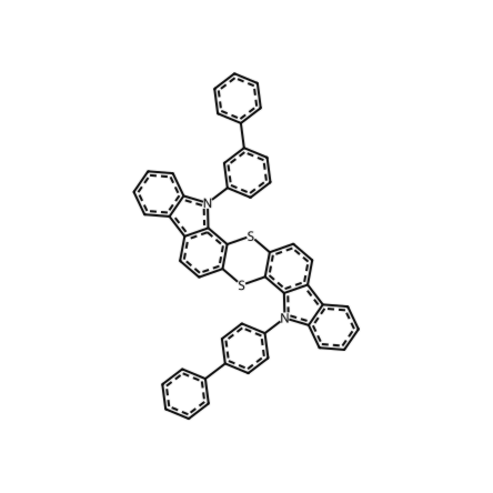 c1ccc(-c2ccc(-n3c4ccccc4c4ccc5c(c43)Sc3ccc4c6ccccc6n(-c6cccc(-c7ccccc7)c6)c4c3S5)cc2)cc1